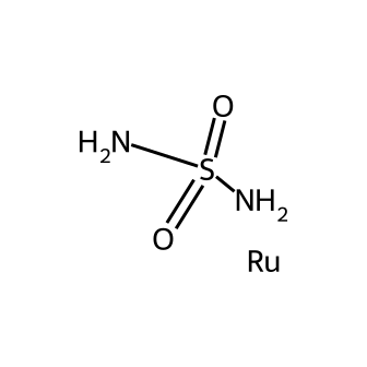 NS(N)(=O)=O.[Ru]